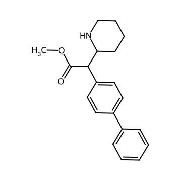 COC(=O)C(c1ccc(-c2ccccc2)cc1)C1CCCCN1